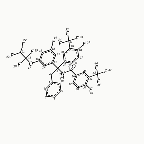 O=C(NC(Cc1ccccc1)(c1cc(F)cc(OC(F)(F)C(F)F)c1)c1ccc(F)c(C(F)(F)F)c1)c1ccc(F)c(C(F)(F)F)c1